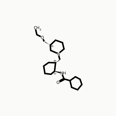 CCOC[C@@H]1CCCN(C[C@H]2CCCC[C@@H]2NC(=O)C2CCCCC2)C1